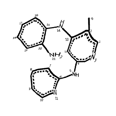 Cc1cnc(Nc2ccccn2)cc1Nc1ccccc1N